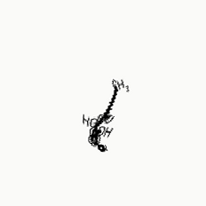 CCCCCCCCCCCCCCCC(=O)OC[C@@H](O)C1OC(=O)C(OC(=O)c2cccnc2)=C1O